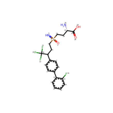 N=S(=O)(CCC(c1ccc(-c2ccccc2F)cc1)C(F)(F)F)CC[C@H](N)C(=O)O